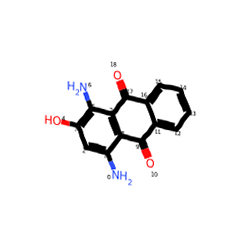 Nc1cc(O)c(N)c2c1C(=O)c1ccccc1C2=O